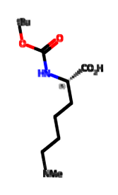 CNCCCC[C@H](NC(=O)OC(C)(C)C)C(=O)O